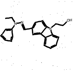 CCN(N=Cc1ccc2c(c1)c1ccccc1n2CCO)c1ccccc1